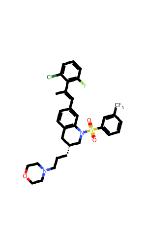 C/C(=C\c1ccc2c(c1)N(S(=O)(=O)c1cccc(C(F)(F)F)c1)C[C@H](CCCN1CCOCC1)C2)c1c(F)cccc1Cl